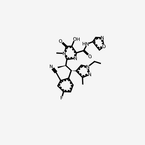 CCn1cc([C@H](c2ccc(F)cc2C#N)[C@@H](C)c2nc(C(=O)Nc3cnoc3)c(O)c(=O)n2C)c(C)n1